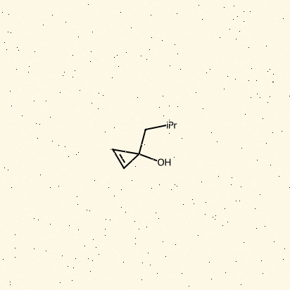 CC(C)CC1(O)C=C1